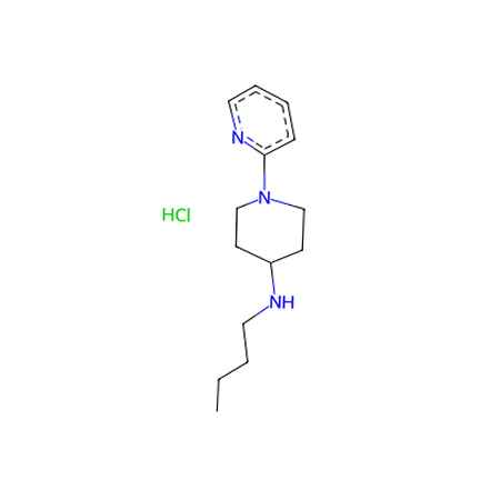 CCCCNC1CCN(c2ccccn2)CC1.Cl